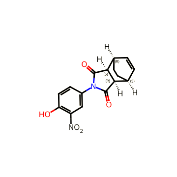 O=C1[C@@H]2[C@H](C(=O)N1c1ccc(O)c([N+](=O)[O-])c1)[C@@H]1C=C[C@H]2CC1